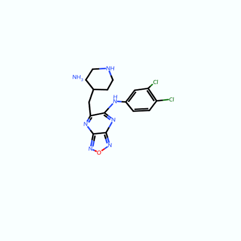 Clc1ccc(Nc2nc3nonc3nc2CC2CCNCC2)cc1Cl.N